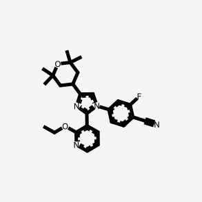 CCOc1ncccc1-c1nc(C2CC(C)(C)OC(C)(C)C2)cn1-c1ccc(C#N)c(F)c1